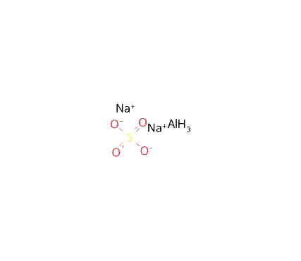 O=S(=O)([O-])[O-].[AlH3].[Na+].[Na+]